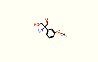 COc1cccc([C@@](N)(C=O)CO)c1